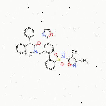 Cc1noc(NS(=O)(=O)c2ccccc2-c2ccc(-c3ncco3)cc2CN(C)C(=O)C(c2ccccc2)c2ccccc2)c1C